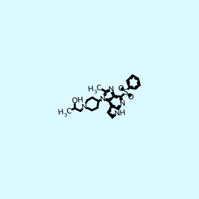 Cc1nc2c(S(=O)(=O)c3ccccc3)nc3[nH]ccc3c2n1C1CCN(CC(C)O)CC1